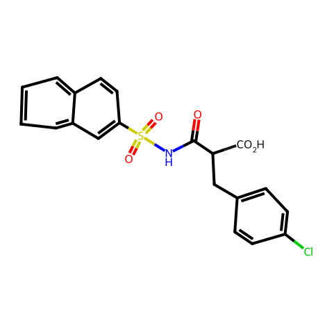 O=C(O)C(Cc1ccc(Cl)cc1)C(=O)NS(=O)(=O)c1ccc2ccccc2c1